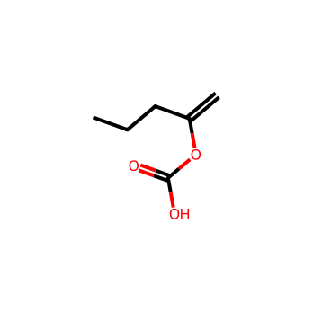 C=C(CCC)OC(=O)O